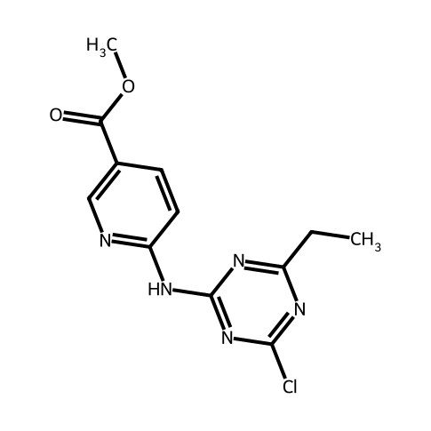 CCc1nc(Cl)nc(Nc2ccc(C(=O)OC)cn2)n1